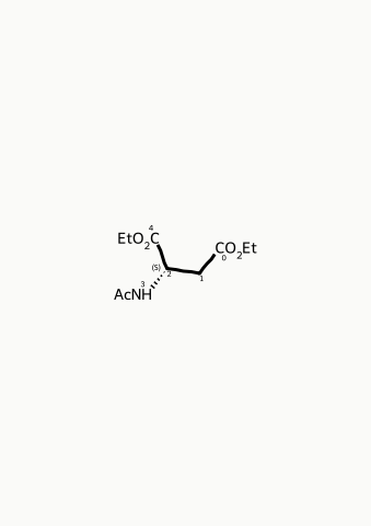 CCOC(=O)C[C@H](NC(C)=O)C(=O)OCC